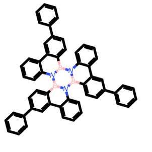 c1ccc(-c2ccc3c(c2)-c2ccccc2N2B3N3B(c4ccc(-c5ccccc5)cc4-c4ccccc43)N3B2c2ccc(-c4ccccc4)cc2-c2ccccc23)cc1